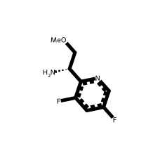 COC[C@@H](N)c1ncc(F)cc1F